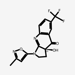 Cc1cc(N2CC[C@@]3(O)C(=O)c4cc(C(F)(F)F)ccc4N=C23)on1